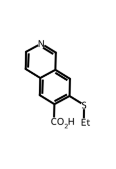 CCSc1cc2cnccc2cc1C(=O)O